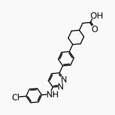 O=C(O)CC1CCC(c2ccc(-c3ccc(Nc4ccc(Cl)cc4)nn3)cc2)CC1